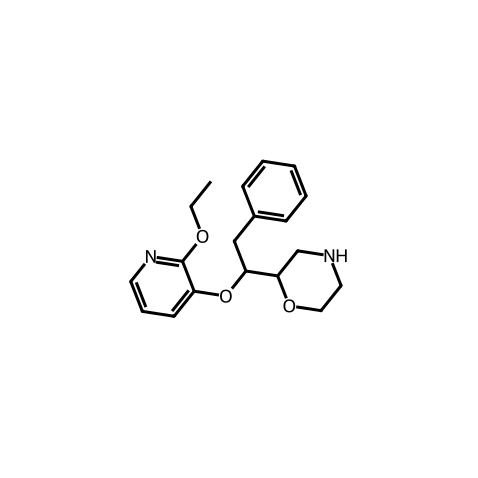 CCOc1ncccc1OC(Cc1ccccc1)C1CNCCO1